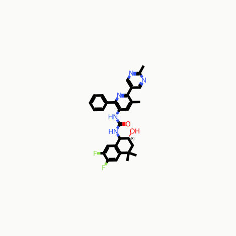 Cc1ncc(-c2nc(-c3ccccc3)c(NC(=O)NC3c4cc(F)c(F)cc4C(C)(C)C[C@H]3O)cc2C)cn1